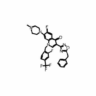 CN1CCN(c2cc3c(cc2F)c(=O)c(-c2noc(Cc4ccccc4)n2)cn3Cc2ccc(C(F)(F)F)cc2F)CC1